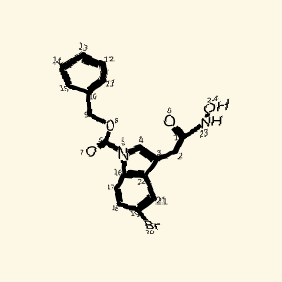 O=C(Cc1cn(C(=O)OCc2ccccc2)c2ccc(Br)cc12)NO